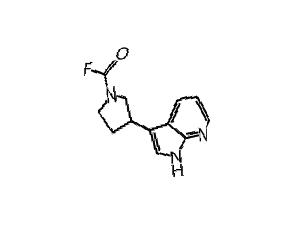 O=C(F)N1CCC(c2c[nH]c3ncccc23)C1